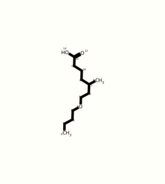 CCCCOCCC(C)CCCC(=O)O